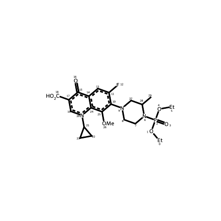 CCOP(=O)(OCC)N1CCN(c2c(F)cc3c(=O)c(C(=O)O)cn(C4CC4)c3c2OC)CC1C